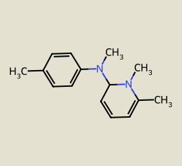 CC1=CC=CC(N(C)c2ccc(C)cc2)N1C